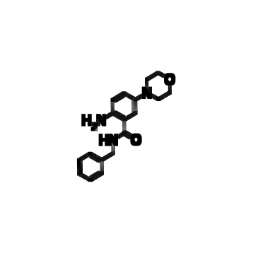 Nc1ccc(N2CCOCC2)cc1C(=O)NCc1ccccc1